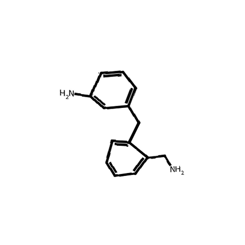 NCc1ccccc1Cc1cc[c]c(N)c1